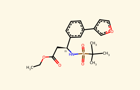 CCOC(=O)C[C@H](NS(=O)(=O)C(C)(C)C)c1cccc(-c2ccoc2)c1